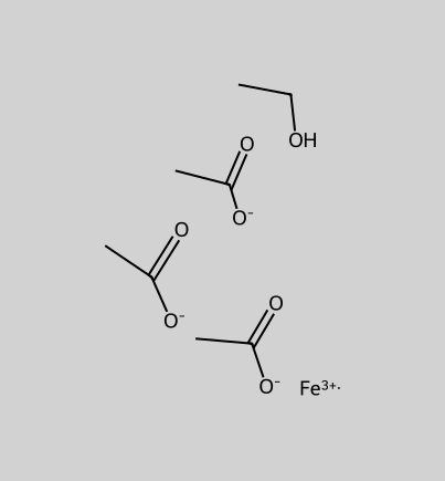 CC(=O)[O-].CC(=O)[O-].CC(=O)[O-].CCO.[Fe+3]